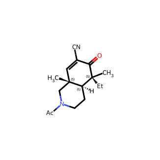 CC[C@]1(C)C(=O)C(C#N)=C[C@@]2(C)CN(C(C)=O)CC[C@@H]21